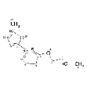 COCCOc1cccc(-c2ncc(C)o2)c1